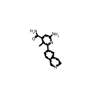 Cc1c(C(N)=O)cc(N)nc1-c1ccc2cnccc2c1